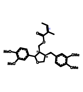 C/C=C(/C)C(=O)OC[C@@H]1C(c2ccc(OC)c(OC)c2)OC[C@@H]1Cc1ccc(OC)c(OC)c1